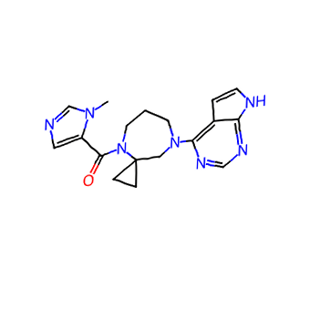 Cn1cncc1C(=O)N1CCCN(c2ncnc3[nH]ccc23)CC12CC2